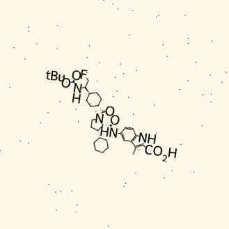 Cc1c(C(=O)O)[nH]c2ccc(NC(=O)[C@@H]3[C@H](C4CCCCC4)CCN3C(=O)[C@H]3CC[C@H](C(CF)NC(=O)OC(C)(C)C)CC3)cc12